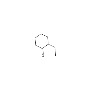 O=C1CCCCC1CI